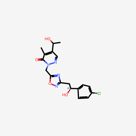 Cc1c(C(C)O)cnn(Cc2nc(C[C@H](O)c3ccc(Cl)cc3)no2)c1=O